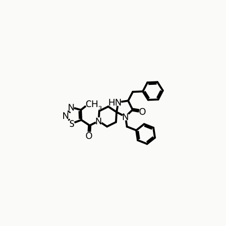 Cc1nnsc1C(=O)N1CCC2(CC1)NC(Cc1ccccc1)C(=O)N2Cc1ccccc1